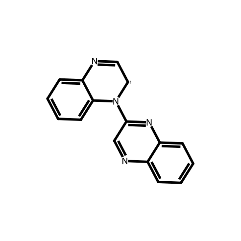 [C]1C=Nc2ccccc2N1c1cnc2ccccc2n1